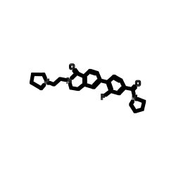 O=C(c1ccc(-c2ccc3c(c2)CCN(CCN2CCCC2)C3=O)c(F)c1)N1CCCC1